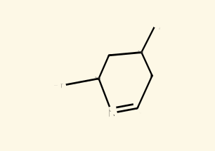 CCC1CC(C)CC=N1